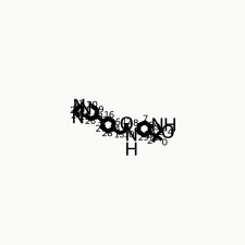 CC1(C)C(=O)Nc2ccc(NC(=O)Cc3ccc(-c4ccn5ncnc5c4)cc3)cc21